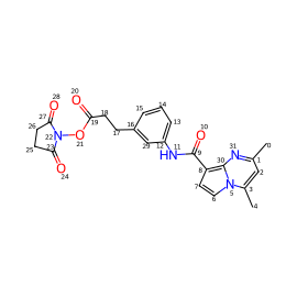 Cc1cc(C)n2ccc(C(=O)Nc3cccc(CCC(=O)ON4C(=O)CCC4=O)c3)c2n1